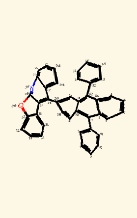 c1ccc(-c2c3ccccc3c(-c3ccccc3)c3cc(-c4c5ccccc5nc5oc6ccccc6c45)ccc23)cc1